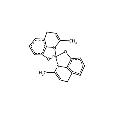 CC1=CCc2cccc3c2[N]1[Pb]1([O]3)[O]c2cccc3c2[N]1C(C)=CC3